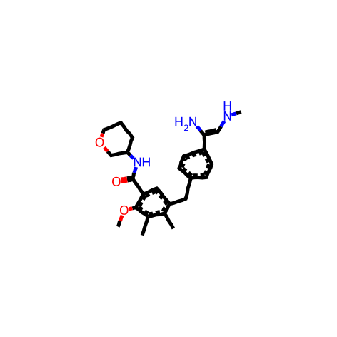 CN/C=C(\N)c1ccc(Cc2cc(C(=O)NC3CCCOC3)c(OC)c(C)c2C)cc1